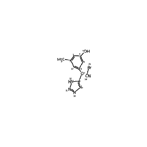 Cc1cc(O)cc(Oc2nnn[nH]2)c1.N#CBr